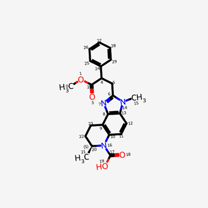 COC(=O)C(Cc1nc2c3c(ccc2n1C)N(C(=O)O)[C@@H](C)CC3)c1ccccc1